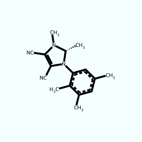 Cc1cc(C)c(C)c(N2C(C#N)=C(C#N)N(C)[C@@H]2C)c1